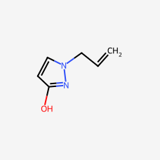 C=CCn1ccc(O)n1